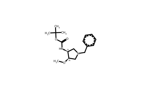 CO[C@@H]1CN(Cc2ccccc2)C[C@@H]1NC(=O)OC(C)(C)C